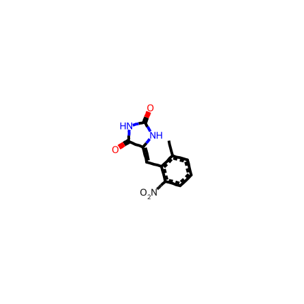 Cc1cccc([N+](=O)[O-])c1C=C1NC(=O)NC1=O